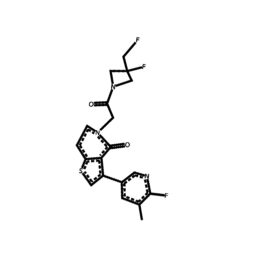 Cc1cc(-c2csc3ccn(CC(=O)N4CC(F)(CF)C4)c(=O)c23)cnc1F